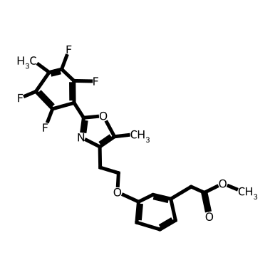 COC(=O)Cc1cccc(OCCc2nc(-c3c(F)c(F)c(C)c(F)c3F)oc2C)c1